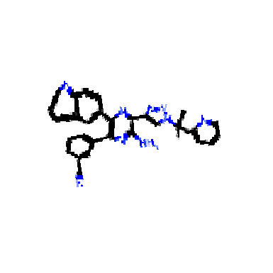 CC(C)(c1ccccn1)n1cc(-c2nc(-c3ccc4ncccc4c3)c(-c3cccc(C#N)c3)nc2N)nn1